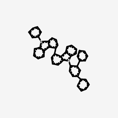 c1ccc(-c2ccc(-n3c4ccccc4c4c(-c5cccc6c5c5ccccc5n6-c5ccccc5)cccc43)c(-c3ccccc3)c2)cc1